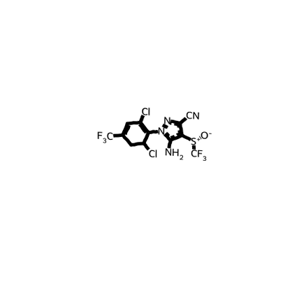 N#Cc1nn(C2=C(Cl)C=C(C(F)(F)F)CC2Cl)c(N)c1[S+]([O-])C(F)(F)F